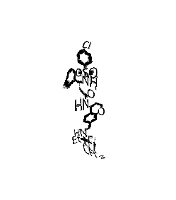 CCC(C)(CC)NCc1ccc2c(c1)OCC[C@H]2NC(=O)C[C@@H](NS(=O)(=O)c1ccc(Cl)cc1)c1ccccc1